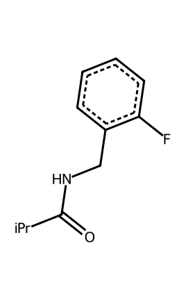 CC(C)C(=O)NCc1ccccc1F